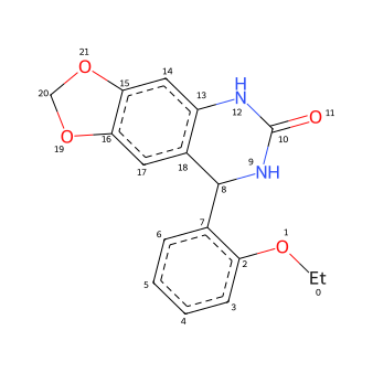 CCOc1ccccc1C1NC(=O)Nc2cc3c(cc21)OCO3